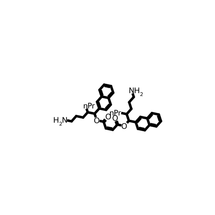 CCCC(CCCN)C(OC(=O)/C=C\C(=O)OC(c1ccc2ccccc2c1)C(CCC)CCCN)c1ccc2ccccc2c1